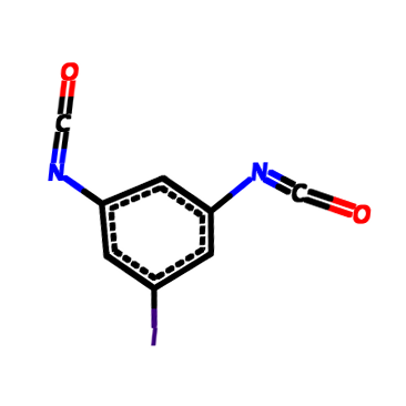 O=C=Nc1cc(I)cc(N=C=O)c1